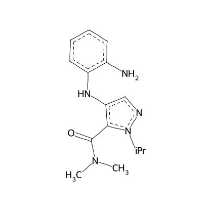 CC(C)n1ncc(Nc2ccccc2N)c1C(=O)N(C)C